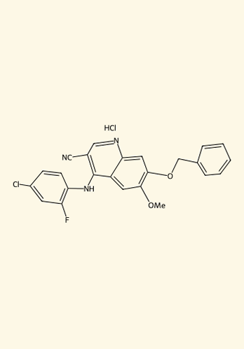 COc1cc2c(Nc3ccc(Cl)cc3F)c(C#N)cnc2cc1OCc1ccccc1.Cl